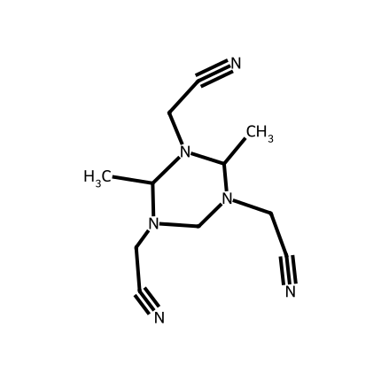 CC1N(CC#N)CN(CC#N)C(C)N1CC#N